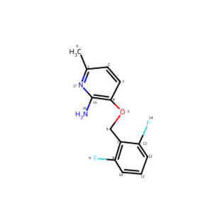 Cc1ccc(OCc2c(F)cccc2F)c(N)n1